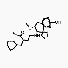 CCC1(CC)c2cc(O)ccc2C[C@H](OC)[C@H]1NCCC(CC1CCCCC1)C(=O)OC